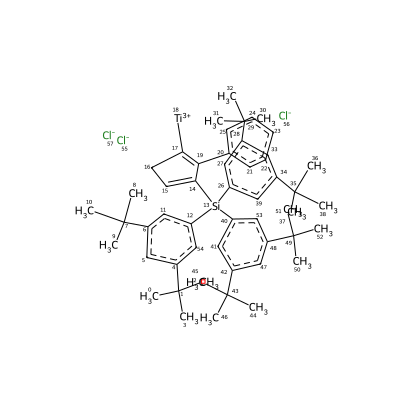 CC(C)(C)c1cc(C(C)(C)C)cc([Si](C2=CC[C]([Ti+3])=C2c2ccccc2)(c2cc(C(C)(C)C)cc(C(C)(C)C)c2)c2cc(C(C)(C)C)cc(C(C)(C)C)c2)c1.[Cl-].[Cl-].[Cl-]